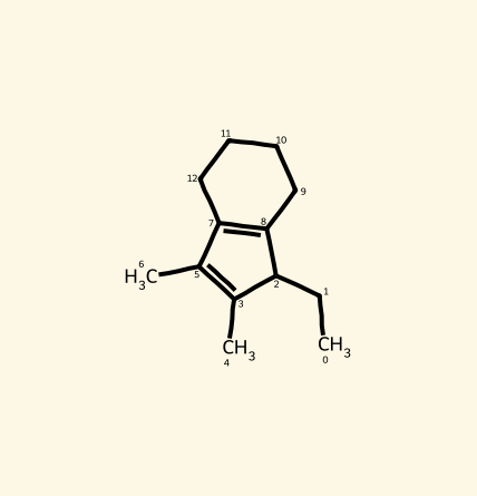 CCC1C(C)=C(C)C2=C1CCCC2